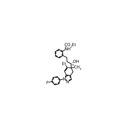 CCOC(=O)Nc1ccccc1CC[C@H](O)C1(C)Cc2cnn(-c3ccc(F)cc3)c2C=C1CC